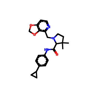 CC1(C)CCN(Cc2nccc3c2OCO3)C1C(=O)Nc1ccc(C2CC2)cc1